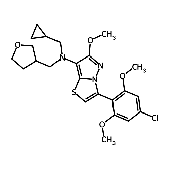 COc1cc(Cl)cc(OC)c1-c1csc2c(N(CC3CC3)CC3CCOC3)c(OC)nn12